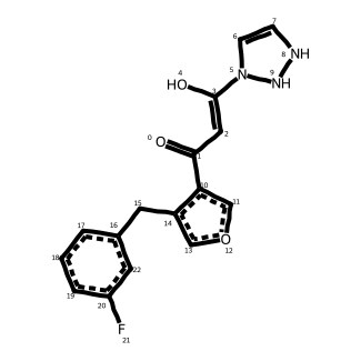 O=C(C=C(O)N1C=CNN1)c1cocc1Cc1cccc(F)c1